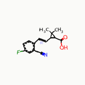 CC1(C)C(/C=C/c2ccc(F)cc2C#N)C1C(=O)O